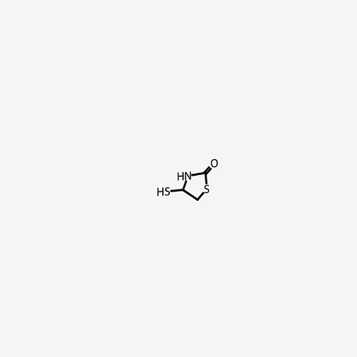 O=C1NC(S)CS1